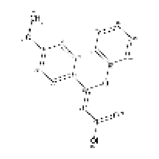 COc1ccc(C(=CC(=O)O)Oc2ccccc2)cc1